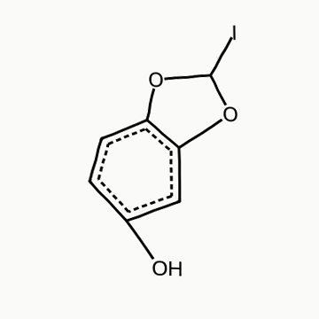 Oc1ccc2c(c1)OC(I)O2